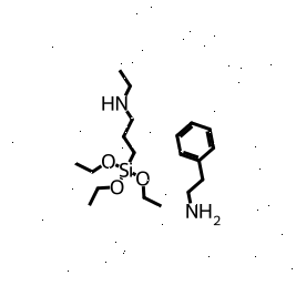 CCNCCC[Si](OCC)(OCC)OCC.NCCc1ccccc1